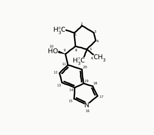 CC1CCCC(C)(C)C1[C@H](O)c1ccc2cnccc2c1